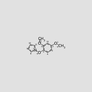 COc1ccc(On2c[c]cc2)c(OC)c1